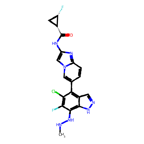 CNNc1c(F)c(Cl)c(-c2ccc3nc(NC(=O)[C@@H]4C[C@@H]4F)cn3c2)c2cn[nH]c12